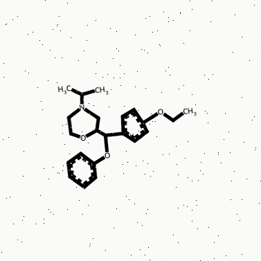 CCOc1ccc(C(Oc2ccccc2)C2CN(C(C)C)CCO2)cc1